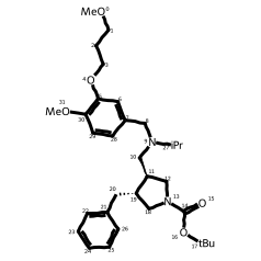 COCCCOc1cc(CN(C[C@H]2CN(C(=O)OC(C)(C)C)C[C@@H]2Cc2ccccc2)C(C)C)ccc1OC